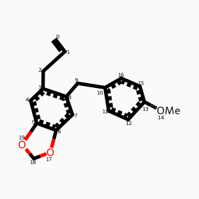 C=CCc1cc2c(cc1Cc1ccc(OC)cc1)OCO2